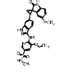 CCOc1cc(S(=O)(=O)NC)cnc1Nc1n[nH]c2cc(C3CC34C(=O)Nc3ccc(OC)cc34)ccc12